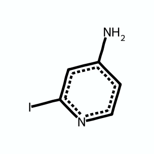 Nc1ccnc(I)c1